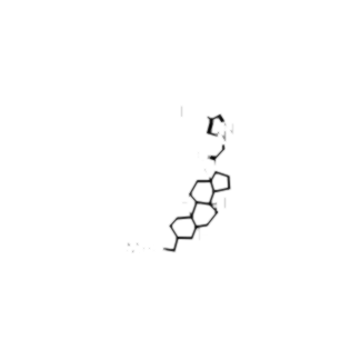 COCC1CC[C@]2(F)C3CC[C@@]4(C)C(CC[C@@H]4C(=O)Cn4cc(C(F)(F)F)cn4)[C@@H]3CC[C@@H]2C1